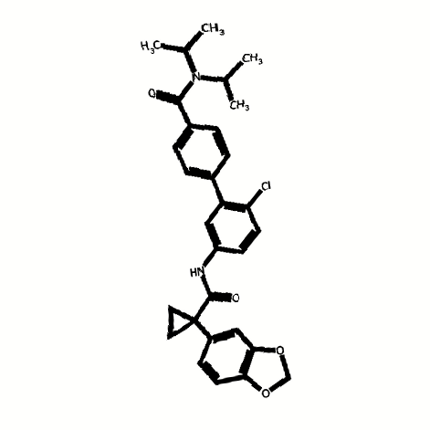 CC(C)N(C(=O)c1ccc(-c2cc(NC(=O)C3(c4ccc5c(c4)OCO5)CC3)ccc2Cl)cc1)C(C)C